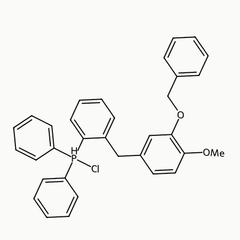 COc1ccc(Cc2ccccc2[PH](Cl)(c2ccccc2)c2ccccc2)cc1OCc1ccccc1